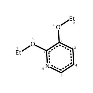 CCOc1[c]ccnc1OCC